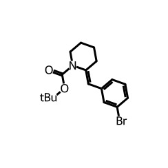 CC(C)(C)OC(=O)N1CCCCC1=Cc1cccc(Br)c1